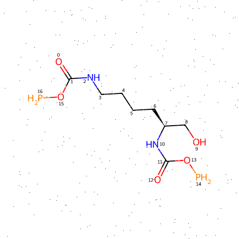 O=C(NCCCC[C@@H](CO)NC(=O)OP)OP